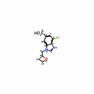 O=C(O)c1cc(F)c2ncn(C[C@@H]3CCO3)c2c1